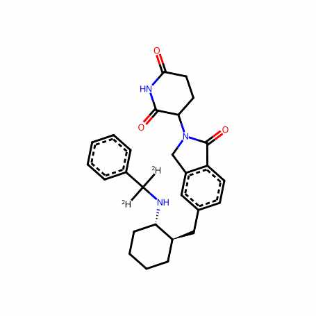 [2H]C([2H])(N[C@H]1CCCC[C@@H]1Cc1ccc2c(c1)CN(C1CCC(=O)NC1=O)C2=O)c1ccccc1